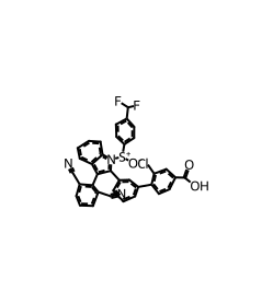 N#Cc1cccc(C#N)c1-c1c(-c2cccc(-c3ccc(C(=O)O)cc3Cl)c2)n([S+]([O-])c2ccc(C(F)F)cc2)c2ccccc12